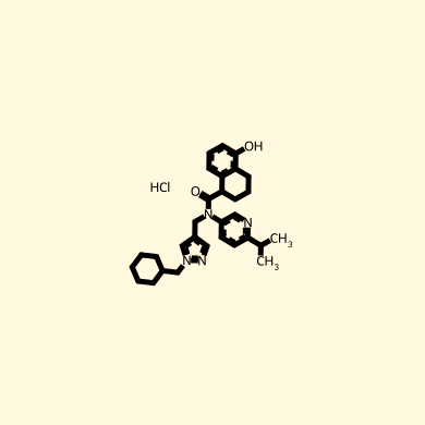 CC(C)c1ccc(N(Cc2cnn(CC3CCCCC3)c2)C(=O)C2CCCc3c(O)cccc32)cn1.Cl